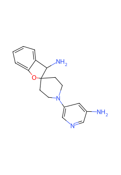 Nc1cncc(N2CCC3(CC2)Oc2ccccc2C3N)c1